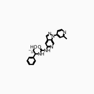 Cc1cc(-n2ncc3cc(NC(=O)NC(c4ccccc4)[C@H](C)O)ncc32)ccn1